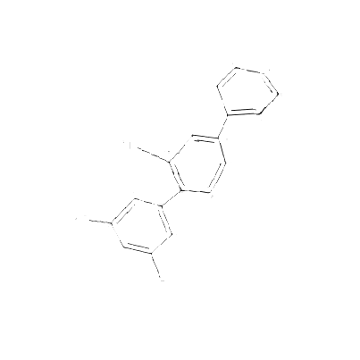 Fc1cc(F)cc(-c2ccc(-c3ccccc3)cc2F)c1